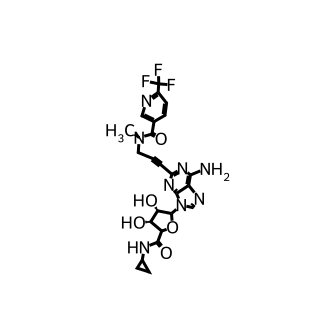 CN(CC#Cc1nc(N)c2ncn(C3OC(C(=O)NC4CC4)[C@@H](O)[C@H]3O)c2n1)C(=O)c1ccc(C(F)(F)F)nc1